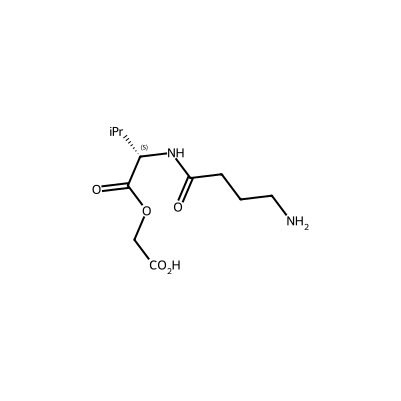 CC(C)[C@H](NC(=O)CCCN)C(=O)OCC(=O)O